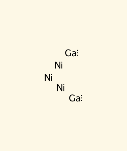 [Ga].[Ga].[Ni].[Ni].[Ni]